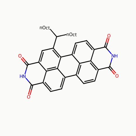 CCCCCCCCC(CCCCCCCC)c1cc2c3c(ccc4c5ccc6c7c(ccc(c1c34)c75)C(=O)NC6=O)C(=O)NC2=O